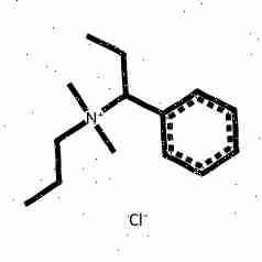 CCC[N+](C)(C)C(CC)c1ccccc1.[Cl-]